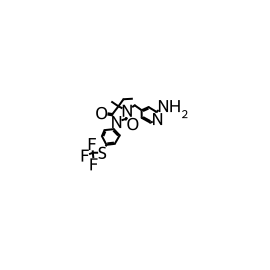 CCC1(C)C(=O)N(c2ccc(SC(F)(F)F)cc2)C(=O)N1Cc1ccnc(N)c1